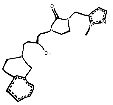 Cn1nccc1CN1CCN(CC(O)CN2CCc3ccccc3C2)C1=O